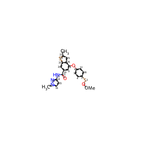 COOSc1ccc(Oc2cc(C(=O)Nc3ccn(C)n3)cc3sc(C)cc23)cc1